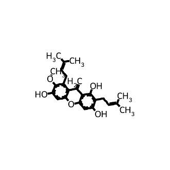 C=C1c2c(cc(O)c(CC=C(C)C)c2O)Oc2cc(O)c(OC)c(CC=C(C)C)c21